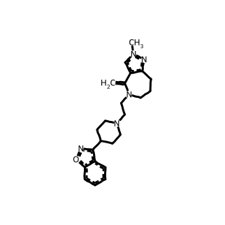 C=C1c2cn(C)nc2CCCN1CCN1CCC(c2noc3ccccc23)CC1